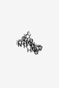 CC1CCC(C(NC(=O)c2cccnc2)C(=O)Nc2cc3c(cn2)C2(CCOCC2)C(=O)N3)CC1